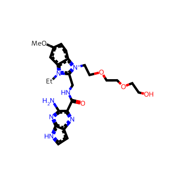 CCn1c(CNC(=O)c2nc3cc[nH]c3nc2N)[n+](CCOCCOCCO)c2ccc(OC)cc21